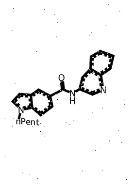 CCCCCn1ccc2cc(C(=O)Nc3cnc4ccccc4c3)ccc21